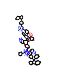 Cc1nc(-c2ccc(-c3cccc4ccccc34)cc2)cc(-c2ccc3c(c2)[C@]2(c4ccccc4O3)c3ccccc3-c3c2ccc(-c2ccc(-c4nc(-c5ccccc5)nc(-c5ccc(C6(c7ccccc7)c7ccccc7-c7ccccc76)cc5-c5ncccc5C)n4)cc2)c3-c2cnccc2C)n1